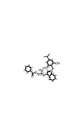 CC(C)c1cc(O)c(Cn2cc(C[C@H](O)COC(=O)c3ccccc3)c3ccccc32)c(O)c1